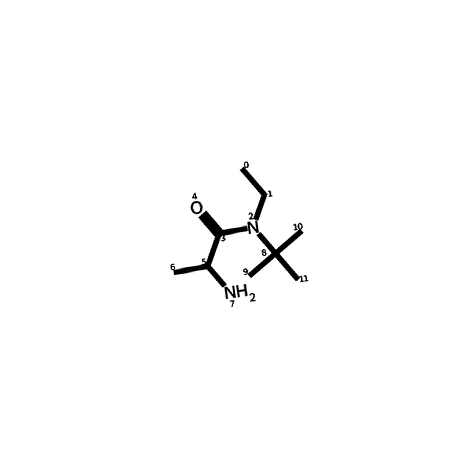 CCN(C(=O)C(C)N)C(C)(C)C